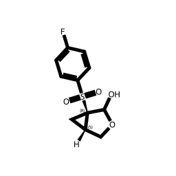 O=S(=O)(c1ccc(F)cc1)[C@]12C[C@H]1COC2O